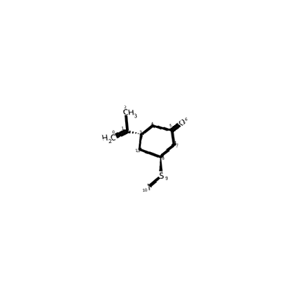 C=C(C)[C@@H]1CC(=O)C[C@@H](SI)C1